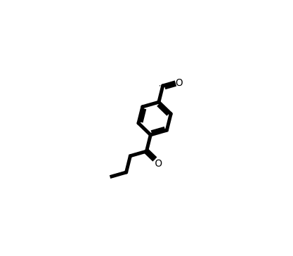 CCCC(=O)c1ccc([C]=O)cc1